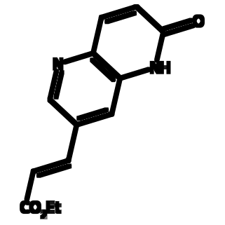 CCOC(=O)/C=C/c1cnc2ccc(=O)[nH]c2c1